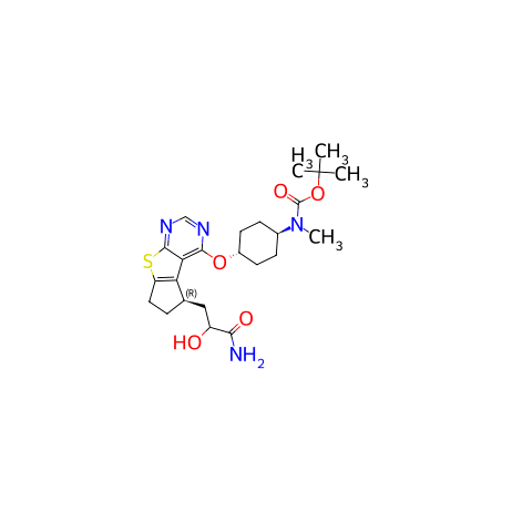 CN(C(=O)OC(C)(C)C)[C@H]1CC[C@H](Oc2ncnc3sc4c(c23)[C@@H](CC(O)C(N)=O)CC4)CC1